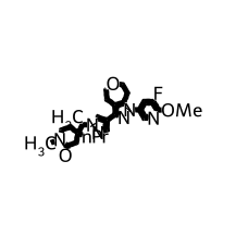 CCCC1(C(C)n2cc(-c3nn(-c4cnc(OC)c(F)c4)c4c3CCOCC4)cn2)CCN(C)C(=O)C1